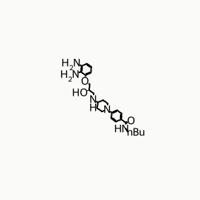 CCCCNC(=O)c1ccc(N2CCC(NC[C@H](O)COc3cccc(N)c3N)CC2)cc1